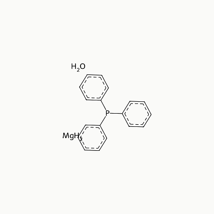 O.[MgH2].c1ccc(P(c2ccccc2)c2ccccc2)cc1